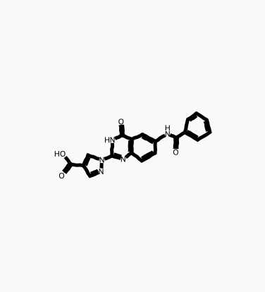 O=C(O)c1cnn(-c2nc3ccc(NC(=O)c4ccccc4)cc3c(=O)[nH]2)c1